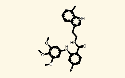 COc1cc(Nc2cc(F)ccc2C(=O)NCCc2c[nH]c3c(C)cccc23)cc(OC)c1OC